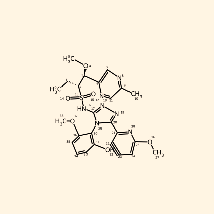 CC[C@H]([C@@H](OC)c1cnc(C)cn1)S(=O)(=O)Nc1nnc(-c2c#ccc(OC)n2)n1-c1c(O)cccc1OC